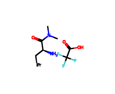 CC(C)C[C@H](N)C(=O)N(C)C.O=C(O)C(F)(F)F